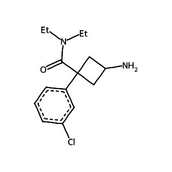 CCN(CC)C(=O)C1(c2cccc(Cl)c2)CC(N)C1